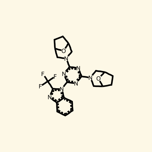 FC(F)(F)c1nc2ccccc2n1-c1nc(N2CC3CCC(C2)O3)nc(N2CC3CCC(C2)O3)n1